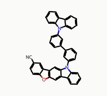 N#Cc1ccc2oc3cc4c5ccccc5n(-c5cccc(-c6cccc(-n7c8ccccc8c8ccccc87)c6)c5)c4cc3c2c1